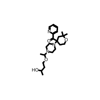 CC(O)CCOC(C)N1CCN(C2(C(=O)c3ccccn3)CCOC(C)(C)C2)CC1